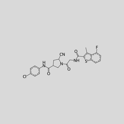 Cc1c(C(=O)NCC(=O)N2CC(C(=O)Nc3ccc(Cl)cc3)CC2C#N)sc2cccc(F)c12